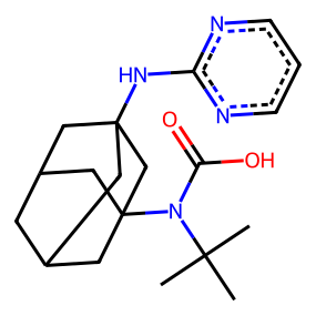 CC(C)(C)N(C(=O)O)C12CC3CC(CC(Nc4ncccn4)(C3)C1)C2